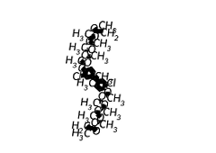 C=C(C)C(=O)OC(C)OC(C)OC(C)OC(C)OC(C)Oc1ccc(C(C)(C)c2ccc(OC(C)OC(C)OC(C)OC(C)OC(C)OC(=O)C(=C)C)c(Cl)c2)cc1Cl